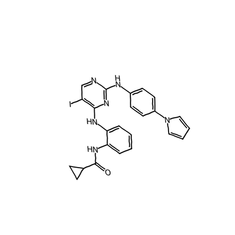 O=C(Nc1ccccc1Nc1nc(Nc2ccc(-n3cccc3)cc2)ncc1I)C1CC1